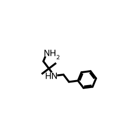 CC(C)(CN)NCCc1ccccc1